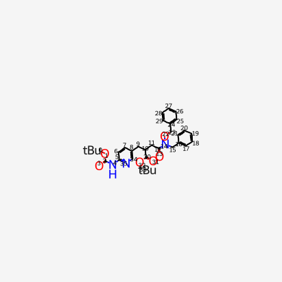 CC(C)(C)OC(=O)Nc1ccc(CC(CC(=O)N(Cc2ccccc2)OCc2ccccc2)C(=O)OC(C)(C)C)cn1